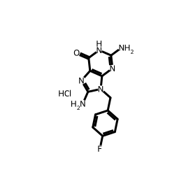 Cl.Nc1nc2c(nc(N)n2Cc2ccc(F)cc2)c(=O)[nH]1